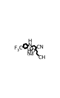 C#CCCC(O)=C(C#N)CC(=O)Nc1ccc(C(F)(F)F)cc1.[Na]